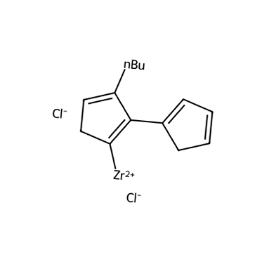 CCCCC1=CC[C]([Zr+2])=C1C1=CC=CC1.[Cl-].[Cl-]